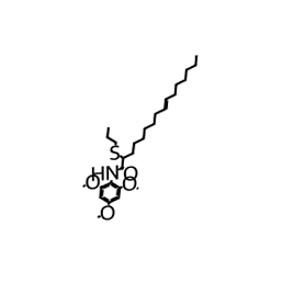 CCCCCCC=CCCCCCCC(SCCC)C(=O)Nc1c(OC)cc(OC)cc1OC